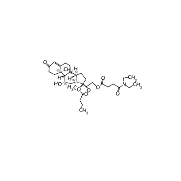 CCCC(=O)O[C@]1(C(=O)COC(=O)CCC(=O)N(CC)CC)CC[C@H]2[C@@H]3CCC4=CC(=O)CC[C@]4(C)[C@H]3[C@@H](O)C[C@@]21C